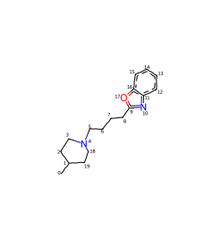 CC1CCN(CCCCc2nc3ccccc3o2)CC1